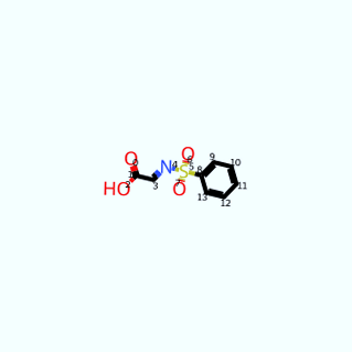 O=C(O)C=NS(=O)(=O)c1ccccc1